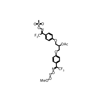 COOSO/N=C(/c1ccc(OCC(COc2ccc(/C(=N/OS(C)(=O)=O)C(F)(F)F)cc2)OC(C)=O)cc1)C(F)(F)F